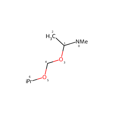 CNC(C)OCOC(C)C